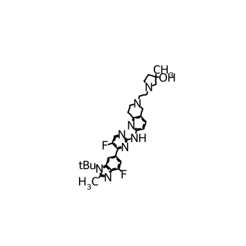 Cc1nc2c(F)cc(-c3nc(Nc4ccc5c(n4)CCN(CCN4CCC(C)(O)C4)C5)ncc3F)cc2n1C(C)(C)C